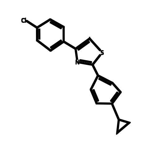 Clc1ccc(-c2[c]sc(-c3ccc(C4CC4)cc3)n2)cc1